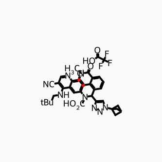 Cn1ccc2c(C(c3cn(C45CC(C4)C5)nn3)N(C(=O)O)c3cc(Cl)c4ncc(C#N)c(NCC(C)(C)C)c4c3)cccc2c1=O.O=C(O)C(F)(F)F